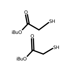 CC(C)COC(=O)CS.CC(C)COC(=O)CS